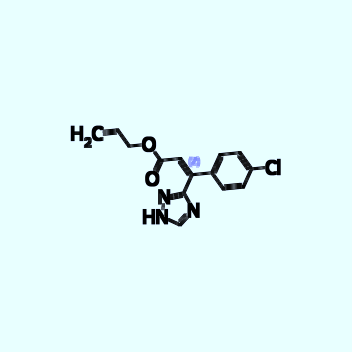 C=CCOC(=O)/C=C(/c1ccc(Cl)cc1)c1nc[nH]n1